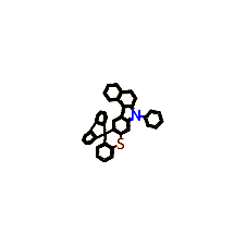 c1ccc(-n2c3cc4c(cc3c3c5ccccc5ccc32)C2(c3ccccc3S4)c3ccccc3-c3ccccc32)cc1